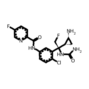 NC(=O)N[C@](CF)(c1cc(NC(=O)c2ccc(F)cn2)ccc1Cl)[C@H]1C[C@H]1N